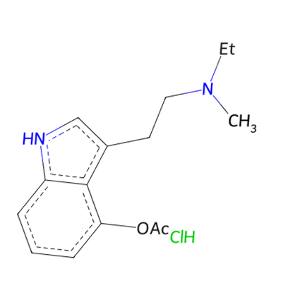 CCN(C)CCc1c[nH]c2cccc(OC(C)=O)c12.Cl